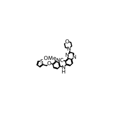 COc1cc(Nc2ccc3ncc(N4CCOCC4)nc3c2C#N)ccc1OCc1cccs1